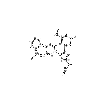 COc1cc(C)cc(-c2nn(CC#N)cc2-c2ccc(-c3ccccc3C(C)=O)nc2)c1